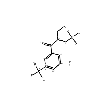 CCC(C[N+](C)(C)C)C(=O)c1cccc(C(F)(F)F)c1.[I-]